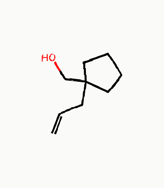 C=CCC1(CO)CCCC1